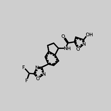 O=C(NC1CCc2cc(-c3noc(C(F)F)n3)ccc21)c1cc(O)no1